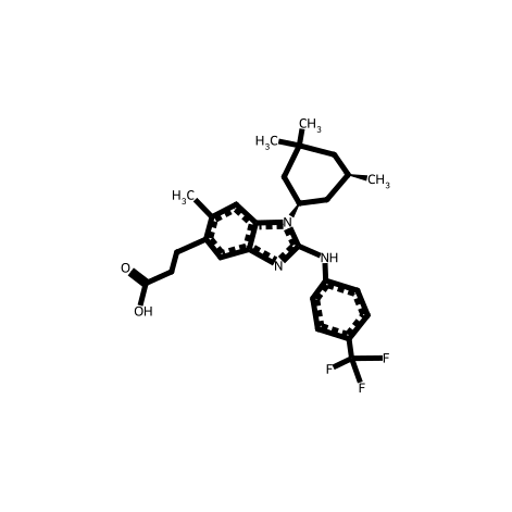 Cc1cc2c(cc1CCC(=O)O)nc(Nc1ccc(C(F)(F)F)cc1)n2[C@@H]1C[C@H](C)CC(C)(C)C1